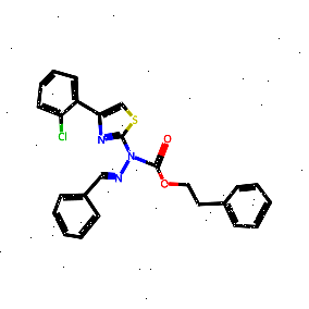 O=C(OCCc1ccccc1)N(/N=C/c1ccccc1)c1nc(-c2ccccc2Cl)cs1